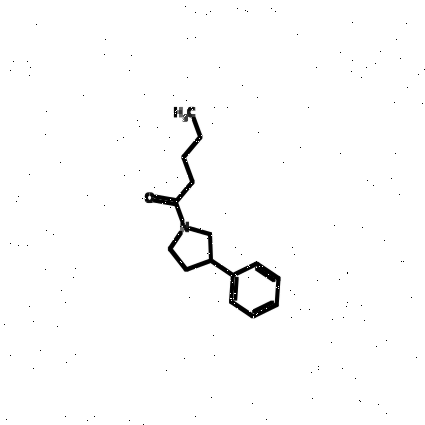 CCCCC(=O)N1CCC(c2ccccc2)C1